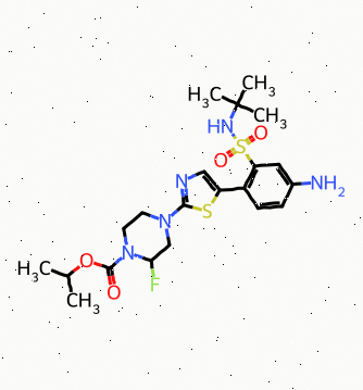 CC(C)OC(=O)N1CCN(c2ncc(-c3ccc(N)cc3S(=O)(=O)NC(C)(C)C)s2)CC1F